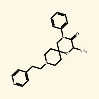 CC1OC2(CCN(CCc3ccncc3)CC2)CN(c2ccccc2)C1=O